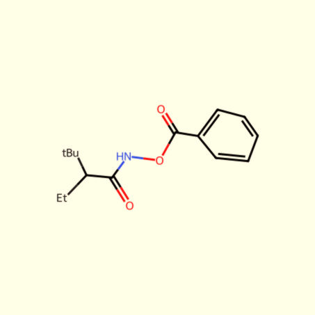 CCC(C(=O)NOC(=O)c1ccccc1)C(C)(C)C